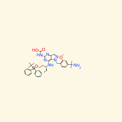 CC[C@@H](CCO[Si](c1ccccc1)(c1ccccc1)C(C)(C)C)Nc1nc(NC(=O)O)nc2cnn(Cc3ccc(C(C)(C)N)cc3OC)c12